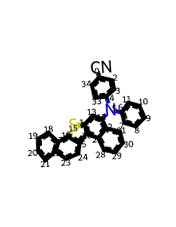 N#Cc1ccc(N(c2ccccc2)c2cc3sc4c5ccccc5ccc4c3c3ccccc23)cc1